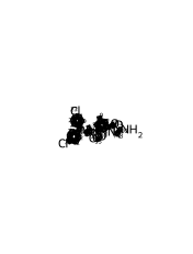 Cc1cc(C(=O)N[C@@H](C)C(N)=O)cc(N(C2CN(C(c3ccc(Cl)cc3)c3ccc(Cl)cc3)C2)S(C)(=O)=O)c1